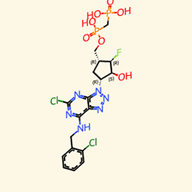 O=P(O)(O)CP(=O)(O)OC[C@H]1C[C@@H](n2nnc3c(NCc4ccccc4Cl)nc(Cl)nc32)[C@H](O)[C@@H]1F